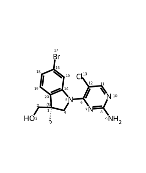 C[C@@]1(CO)CN(c2nc(N)ncc2Cl)c2cc(Br)ccc21